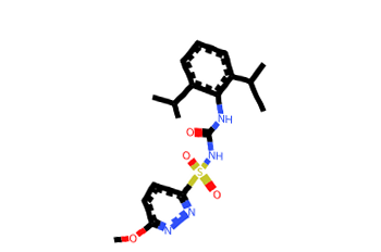 COc1ccc(S(=O)(=O)NC(=O)Nc2c(C(C)C)cccc2C(C)C)nn1